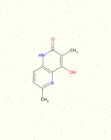 Cc1ccc2[nH]c(=O)c(C)c(O)c2n1